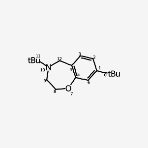 CC(C)(C)c1ccc2c(c1)OCCN(C(C)(C)C)C2